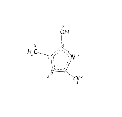 Cc1sc(O)nc1O